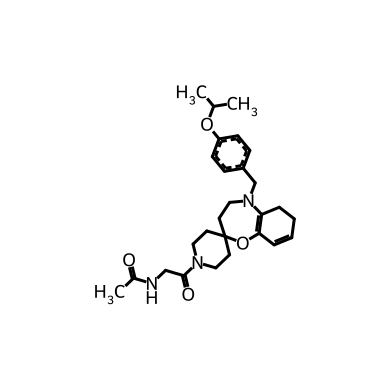 CC(=O)NCC(=O)N1CCC2(CC1)CCN(Cc1ccc(OC(C)C)cc1)C1=C(C=CCC1)O2